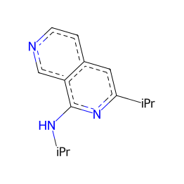 CC(C)Nc1nc(C(C)C)cc2ccncc12